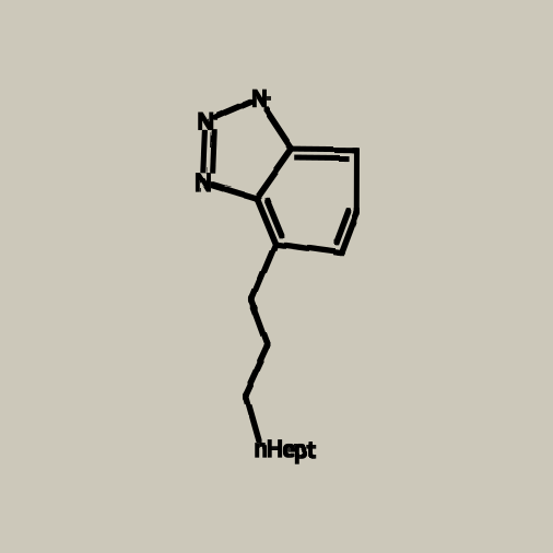 CCCCCCCCCCc1cccc2c1N=N[N]2